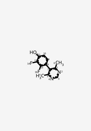 Cc1ncnc(C)c1-c1ccc(O)c(F)c1F